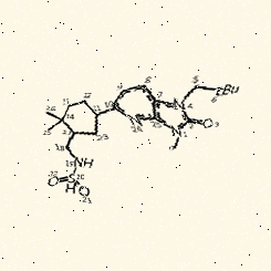 Cn1c(=O)n(CC(C)(C)C)c2ccc(C3CCC(C)(C)C(CN[SH](=O)=O)C3)nc21